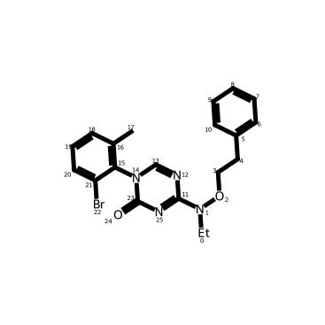 CCN(OCCc1ccccc1)c1ncn(-c2c(C)cccc2Br)c(=O)n1